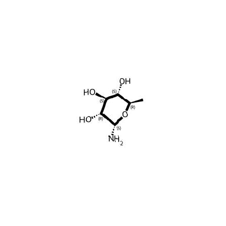 C[C@H]1O[C@H](N)[C@H](O)[C@@H](O)[C@@H]1O